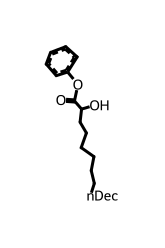 CCCCCCCCCCCCCCCCC(O)C(=O)Oc1ccccc1